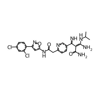 CC(C)N/C(N)=C(\C(=N)c1ccc(CC(=O)Nc2cc(-c3ccc(Cl)cc3Cl)no2)nc1)C(N)=O